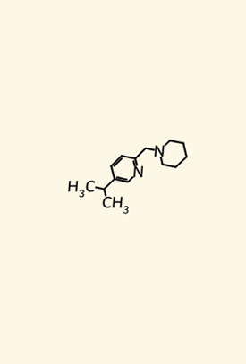 CC(C)c1ccc(CN2CCCCC2)nc1